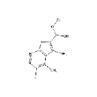 CCOC(O)c1sc2nnc(Cl)c(C)c2c1N